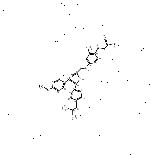 COc1ccc(-c2nc(COc3ccc(OCC(=O)O)c(C)c3)oc2-c2ccc(CC(C)C)cc2)cc1